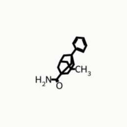 CC12CC3CC(C(N)=O)(C1)CC(c1ccccc1)(C3)C2